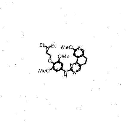 CCN(CC)CCOc1c(OC)cc(Nc2ncc3c(n2)-c2cc(OC)ncc2CC3)cc1OC